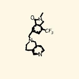 CN1Cc2c(cc(CN3CCc4cnccc4C3)cc2C(F)(F)F)C1=O